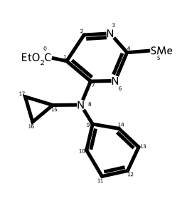 CCOC(=O)c1cnc(SC)nc1N(c1ccccc1)C1CC1